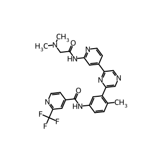 Cc1ccc(NC(=O)c2ccnc(C(F)(F)F)c2)cc1-c1cncc(-c2ccnc(NC(=O)CN(C)C)c2)n1